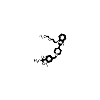 CCOCCn1c(C2CCN(Cc3ccc(C(C)(C)C)cc3)CC2)nc2ccccc21